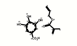 C=CCOC(=O)C(=C)C.O=C(O)c1cc(O)c(O)c(O)c1